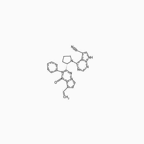 C=Cc1ccn2nc([C@@H]3CCCN3c3ncnc4[nH]cc(C#N)c34)n(-c3ccccc3)c(=O)c12